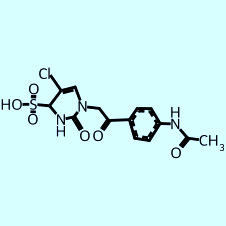 CC(=O)Nc1ccc(C(=O)CN2C=C(Cl)C(S(=O)(=O)O)NC2=O)cc1